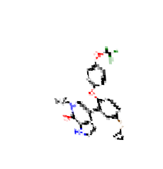 Cn1cc(-c2cc(SC3CC3)ccc2Oc2ccc(OC(F)(F)F)cc2)c2cc[nH]c2c1=O